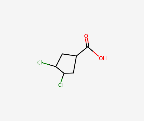 O=C(O)C1CC(Cl)C(Cl)C1